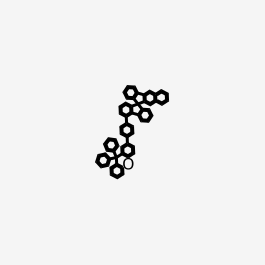 c1ccc(C2(c3ccccc3)c3ccccc3Oc3ccc(-c4ccc(-c5cccc6c5-c5ccccc5C65c6ccccc6-c6cc7ccccc7cc65)cc4)cc32)cc1